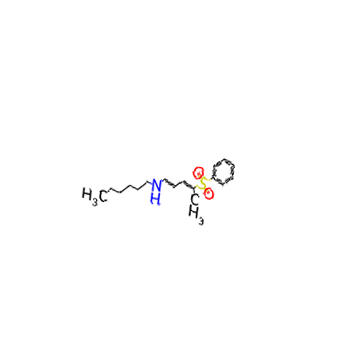 CCCCCCNC=CC=C(C)S(=O)(=O)c1ccccc1